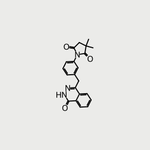 CC1(C)CC(=O)N(c2cccc(Cc3n[nH]c(=O)c4ccccc34)c2)C1=O